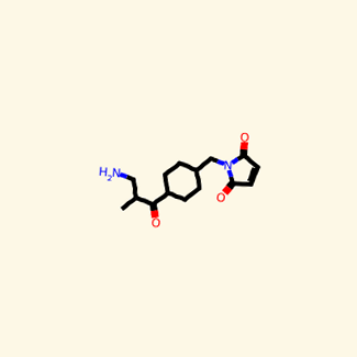 CC(CN)C(=O)C1CCC(CN2C(=O)C=CC2=O)CC1